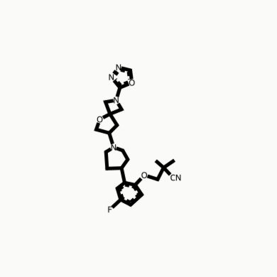 CC(C)(C#N)COc1ccc(F)cc1C1CCN(C2COC3(C2)CN(c2nnco2)C3)CC1